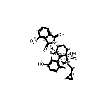 Cc1ccc(O)c2c1[C@]13CCN(CC4CC4)[C@H](C)[C@]1(O)CC[C@@H](N1C(=O)c4cccc([N+](=O)[O-])c4C1=O)[C@@H]3O2